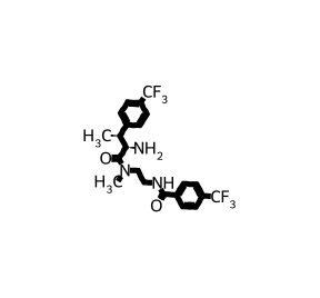 C[C@H](c1ccc(C(F)(F)F)cc1)[C@H](N)C(=O)N(C)CCNC(=O)c1ccc(C(F)(F)F)cc1